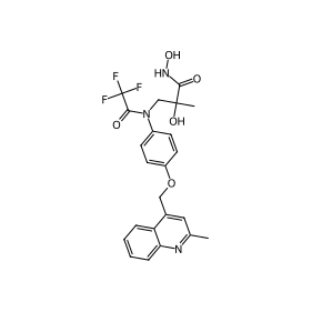 Cc1cc(COc2ccc(N(CC(C)(O)C(=O)NO)C(=O)C(F)(F)F)cc2)c2ccccc2n1